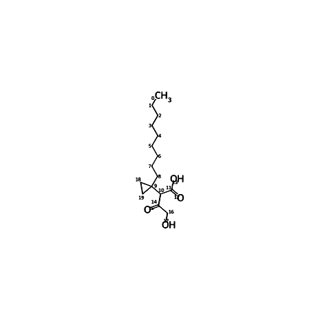 CCCCCCCCCC1(C(C(=O)O)C(=O)CO)CC1